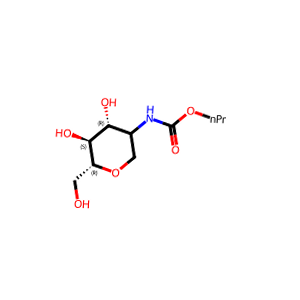 CCCOC(=O)NC1CO[C@H](CO)[C@@H](O)[C@@H]1O